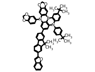 CC(C)(C)c1ccc(N2c3ccc(C(C)(C)C)cc3B3c4cc5c(cc4N(c4ccc6c(c4)OCO6)c4cc(-c6ccc7c(c6)C(C)(C)c6cc(-c8cc9ccccc9o8)ccc6-7)cc2c43)OCO5)cc1